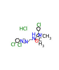 CCn1c(-c2ccc(Cl)cc2)cc(C(=O)NCCCN2CCN(c3cccc(Cl)c3Cl)CC2)c1C.Cl